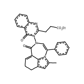 CCOC(=O)CCc1nc2ccccc2c(=O)n1N1C=C(c2ccccc2)n2c(C)cc3c2C(=CCC3)C1=O